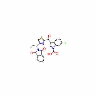 CCC(c1csc(C(=O)c2cn(C(=O)O)c3cc(F)ccc23)n1)N1C(=O)c2ccccc2C1=O